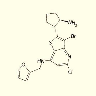 N[C@@H]1CCC[C@H]1c1sc2c(NCc3ccco3)cc(Cl)nc2c1Br